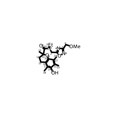 CCN(Cc1nc(COC)no1)C(=O)C1(C)CCc2c(C)c(O)c(C)c(C)c2O1